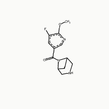 COc1ncc(C(=O)N2C3CNCC2C3)cc1F